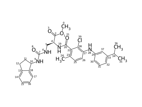 COC(=O)[C@H](CNC(=O)NC1CCc2ccccc21)NC(=O)c1c(C)ccc(Nc2cccc(C(C)C)c2)c1Cl